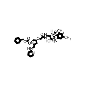 Cc1cc(C)c(S(=O)(=O)NC(CNC(=O)COC2CC(CNc3ccccn3)N(OC(=O)OCc3ccccc3)C2)C(=O)O)c(C)c1